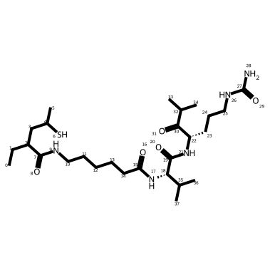 CCC(CC(C)S)C(=O)NCCCCCC(=O)N[C@H](C(=O)N[C@@H](CCCNC(N)=O)C(=O)C(C)C)C(C)C